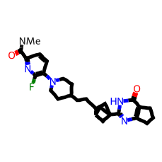 CNC(=O)c1ccc(N2CCC(CCC3CC4(c5nc6c(c(=O)[nH]5)CCC6)CC3C4)CC2)c(F)n1